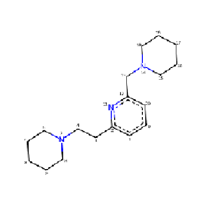 c1cc(CCN2CCCCC2)nc(CN2CCCCC2)c1